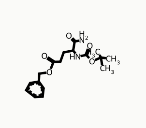 CC(C)(C)OC(=O)NC(CCC(=O)OCc1ccccc1)C(N)=O